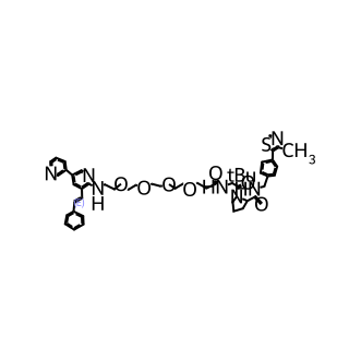 Cc1ncsc1-c1ccc(CNC(=O)C2CCCN2C(=O)C(NC(=O)CCOCCOCCOCCOCCNc2ncc(-c3cccnc3)cc2/C=C/c2ccccc2)C(C)(C)C)cc1